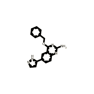 Nc1nc(OCc2ccccc2)c2cc(-c3ccn[nH]3)ccc2n1